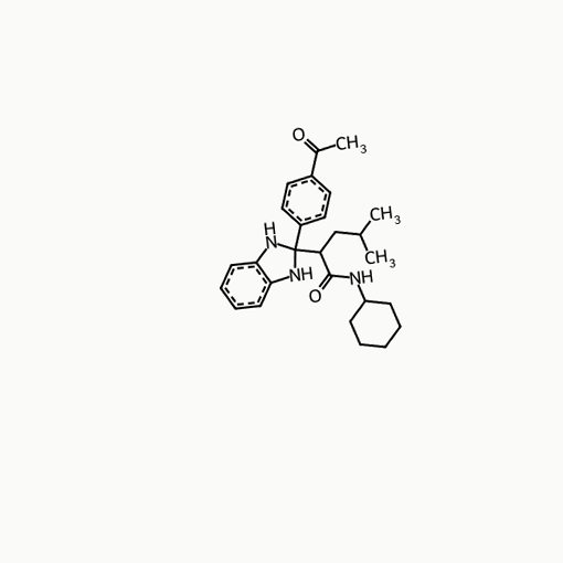 CC(=O)c1ccc(C2(C(CC(C)C)C(=O)NC3CCCCC3)Nc3ccccc3N2)cc1